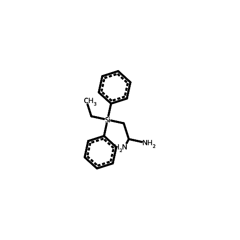 CC[Si](CC(N)N)(c1ccccc1)c1ccccc1